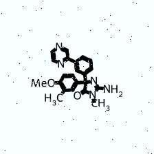 COc1ccc(C2(c3cccc(-c4cnccn4)c3)N=C(N)N(C)C2=O)cc1C